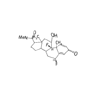 CNC(=O)C1CCC2C3C[C@H](F)C4=CC(=O)C=CC4(C)[C@@]3(F)C(O)CC12C